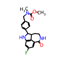 COC(=O)N(C)Cc1ccc(C2Nc3cc(F)cc4c3C2CCNC4=O)cc1